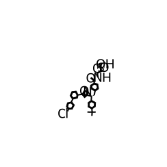 CC(C)(C)c1ccc([C@@H](Cc2ccc(C(=O)NCCS(=O)(=O)O)cc2)c2cc(-c3cccc(-c4ccc(Cl)cc4)c3)on2)cc1